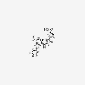 Cc1nc(C(C)O)sc1-c1csc(NC(=O)[C@@H]2C[C@@H](c3ccccc3)CN2C(=O)CF)n1